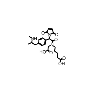 CNC(C)Cc1ccc(C(C(=O)N(CCCCC(=O)O)CC(=O)O)N2C(=O)C=CC2=O)cc1